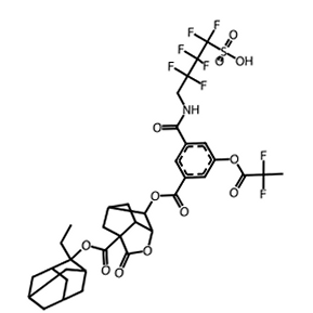 CCC1(OC(=O)C23CC4CC2C(OC3=O)C4OC(=O)c2cc(OC(=O)C(C)(F)F)cc(C(=O)NCC(F)(F)C(F)(F)C(F)(F)S(=O)(=O)O)c2)C2CC3CC(C2)CC1C3